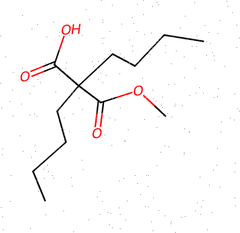 CCCCC(CCCC)(C(=O)O)C(=O)OC